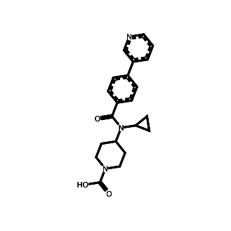 O=C(O)N1CCC(N(C(=O)c2ccc(-c3cccnc3)cc2)C2CC2)CC1